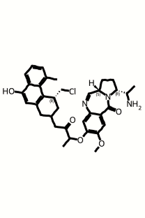 COc1cc2c(cc1OC(C)C(=O)CC1Cc3cc(O)c4cccc(C)c4c3[C@H](CCl)C1)N=C[C@@H]1CC[C@H](C(C)N)N1C2=O